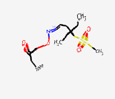 CNC(=O)O/N=C\C(C)(C)S(C)(=O)=O